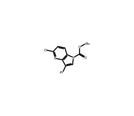 CC(C)c1cn(C(=O)OC(C)(C)C)c2ccc(Cl)nc12